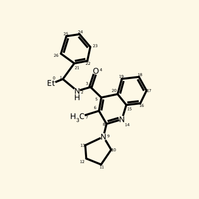 CCC(NC(=O)c1c(C)c(N2CCCC2)nc2ccccc12)c1ccccc1